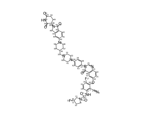 N#Cc1c(NS(=O)(=O)N2CC[C@@H](F)C2)ccc(F)c1Oc1ccc2ncn(-c3ccc(N4CCN(CC5CCN(c6ccc7c(c6)CN([C@@H]6CCC(=O)NC6=O)C7=O)CC5)CC4)cc3)c(=O)c2c1